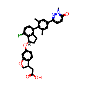 Cc1cc(-c2ccc(=O)n(C)n2)cc(C)c1-c1ccc(F)c2c1CC[C@H]2Oc1ccc2c(c1)OCC2CC(=O)O